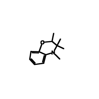 CC1Oc2ccccc2N(C)C1(C)C